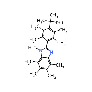 Cc1c(C)c(C(C)(C)C(C)(C)C)c(C)c(C)c1-c1nc2c(C)c(C)c(C)c(C)c2n1C